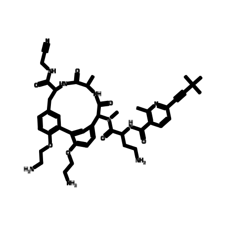 Cc1nc(C#CC(C)(C)C)ccc1C(=O)NC(CCN)C(=O)N(C)C1C(=O)NC(C)C(=O)NC(C(=O)NCC#N)Cc2ccc(OCCN)c(c2)-c2cc1ccc2OCCN